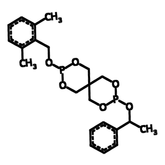 Cc1cccc(C)c1COP1OCC2(CO1)COP(OC(C)c1ccccc1)OC2